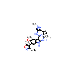 COc1cc2c3c([nH]c2cc1-c1c(C)noc1C)NC(C)N=C3Nc1cn(C)nc1C1CCC1